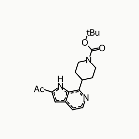 CC(=O)c1cc2ccnc(C3CCN(C(=O)OC(C)(C)C)CC3)c2[nH]1